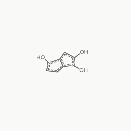 Oc1cc2c(ccn2O)n1O